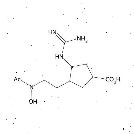 CC(=O)N(O)CCC1CC(C(=O)O)CC1NC(=N)N